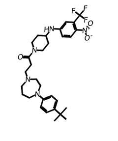 CC(C)(C)c1ccc(N2CCCN(CCC(=O)N3CCC(Nc4ccc([N+](=O)[O-])c(C(F)(F)F)c4)CC3)CC2)cc1